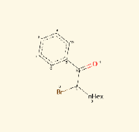 CCCCCCC(Br)C(=O)c1ccccc1